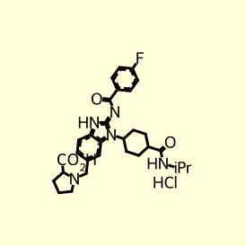 CC(C)NC(=O)C1CCC(n2c(=NC(=O)c3ccc(F)cc3)[nH]c3ccc(CN4CCCC4C(=O)O)cc32)CC1.Cl